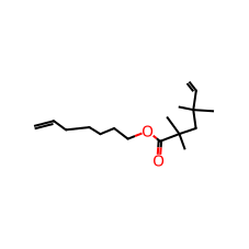 C=CCCCCCOC(=O)C(C)(C)CC(C)(C)C=C